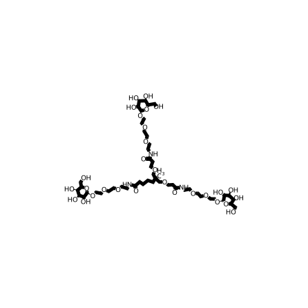 CC(CCCCC(=O)NCCOCCOCCO[C@H]1OC(CO)[C@@H](O)[C@H](O)C1O)(COCCC(=O)NCCOCCOCCO[C@H]1OC(CO)[C@@H](O)[C@H](O)C1O)COCCC(=O)NCCOCCOCCO[C@H]1OC(CO)[C@@H](O)[C@H](O)C1O